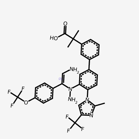 Cc1nc(C(F)(F)F)cn1-c1ccc(-c2cccc(C(C)(C)C(=O)O)c2)cc1N(N)/C(=C\N)c1ccc(OC(F)(F)F)cc1